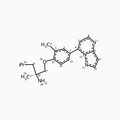 Cc1cc(-c2ccnc3ccnn23)ccc1OC[C@@](C)(N)CC(C)C